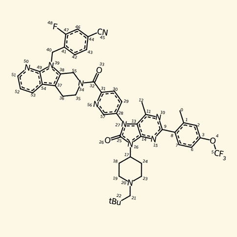 Cc1cc(OC(F)(F)F)ccc1-c1nc(C)c2c(n1)n(C1CCN(CC(C)(C)C)CC1)c(=O)n2-c1ccc(C(=O)N2CCc3c(n(Cc4ccc(C#N)cc4F)c4ncccc34)C2)nc1